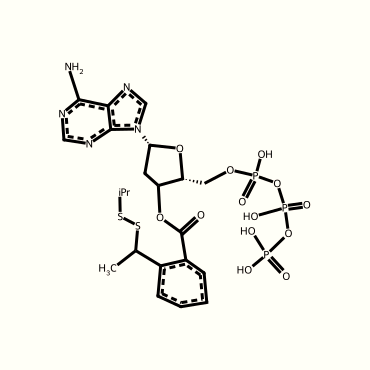 CC(C)SSC(C)c1ccccc1C(=O)OC1C[C@H](n2cnc3c(N)ncnc32)O[C@@H]1COP(=O)(O)OP(=O)(O)OP(=O)(O)O